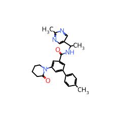 Cc1ccc(-c2cc(C(=O)NC(C)c3cnc(C)nc3)cc(N3CCCCC3=O)c2)cc1